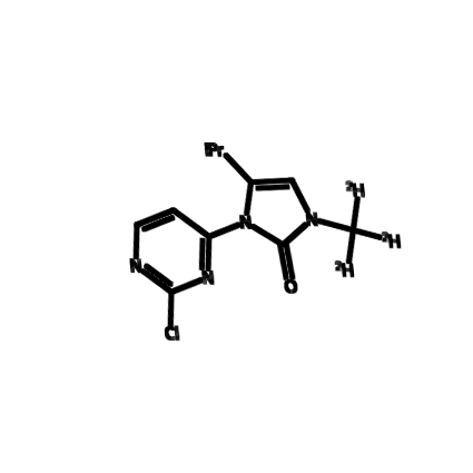 [2H]C([2H])([2H])n1cc(C(C)C)n(-c2ccnc(Cl)n2)c1=O